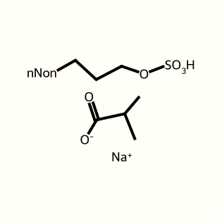 CC(C)C(=O)[O-].CCCCCCCCCCCCOS(=O)(=O)O.[Na+]